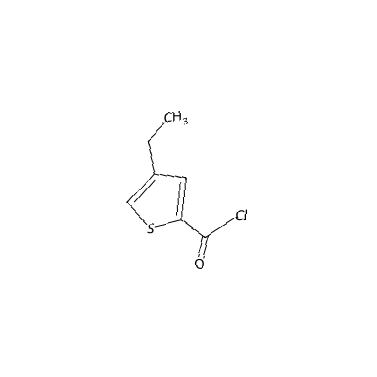 CCc1csc(C(=O)Cl)c1